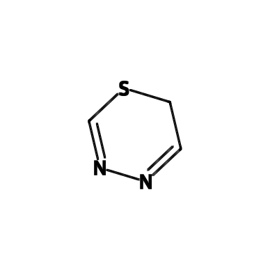 C1=NN=CSC1